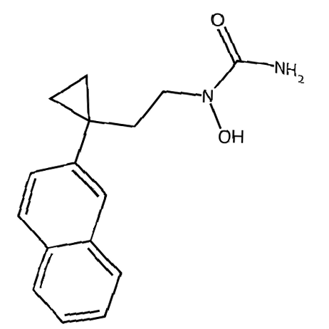 NC(=O)N(O)CCC1(c2ccc3ccccc3c2)CC1